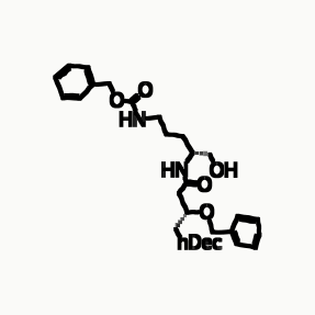 CCCCCCCCCCC[C@H](CC(=O)N[C@@H](CO)CCCNC(=O)OCc1ccccc1)OCc1ccccc1